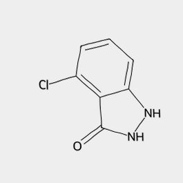 O=c1[nH][nH]c2cccc(Cl)c12